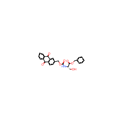 O=C(N[C@@H](CO)C(=O)OCc1ccccc1)OCc1ccc2c(c1)C(=O)c1ccccc1C2=O